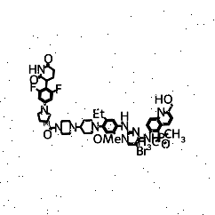 CCc1cc(Nc2ncc(Br)c(Nc3ccc4nc(CO)ccc4c3P(C)(C)=O)n2)c(OC)cc1N1CCC(N2CCN(C(=O)[C@@H]3CCN(c4cc(F)c(C5CCC(=O)NC5=O)c(F)c4)C3)CC2)CC1